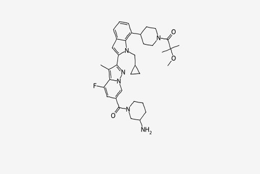 COC(C)(C)C(=O)N1CCC(c2cccc3cc(-c4nn5cc(C(=O)N6CCCC(N)C6)cc(F)c5c4C)n(CC4CC4)c23)CC1